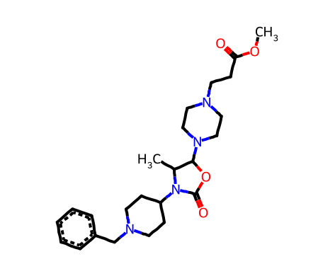 COC(=O)CCN1CCN(C2OC(=O)N(C3CCN(Cc4ccccc4)CC3)C2C)CC1